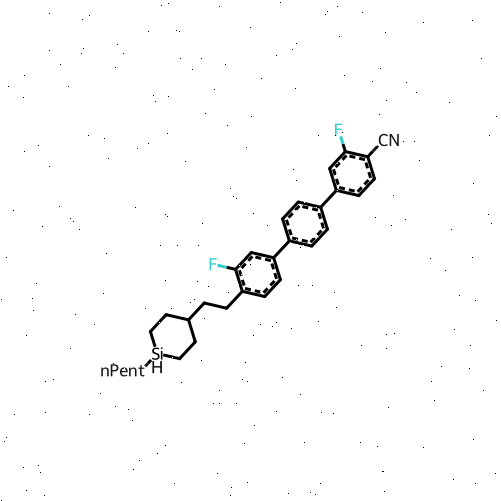 CCCCC[SiH]1CCC(CCc2ccc(-c3ccc(-c4ccc(C#N)c(F)c4)cc3)cc2F)CC1